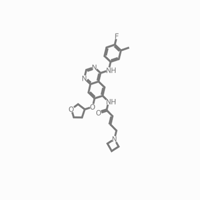 Cc1cc(Nc2ncnc3cc(OC4CCOC4)c(NC(=O)/C=C/CN4CCC4)cc23)ccc1F